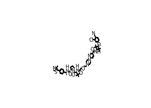 Cc1ncsc1-c1ccc([C@H](C)NC(=O)[C@@H]2CCCN2C(=O)C(NC(=O)COCCN2CCN(c3ccc(C(=O)N[C@H]4C(C)(C)[C@H](Oc5ccc(C#N)c(Cl)c5)C4(C)C)cn3)CC2)C(C)(C)C)cc1